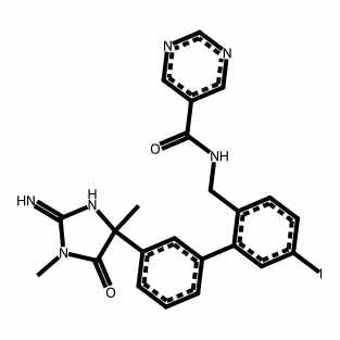 CN1C(=N)NC(C)(c2cccc(-c3cc(I)ccc3CNC(=O)c3cncnc3)c2)C1=O